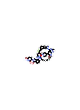 Cc1nc2c3cc(C4CCN(C(=O)CNc5cccc6c5CN(C5CCC(=O)NC5=O)C6=O)CC4)c(=O)n(c3n1)CCCCCCCN1CCC(CC1)C(F)(F)c1cccc(c1)[C@@H](C)N2